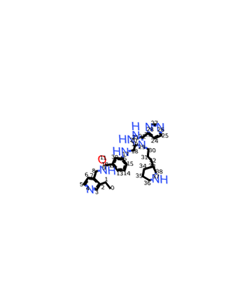 CCc1cnccc1CNC(=O)c1cccc(NCC2NNC(c3ccncn3)N2CCCC2CCCNC2)c1